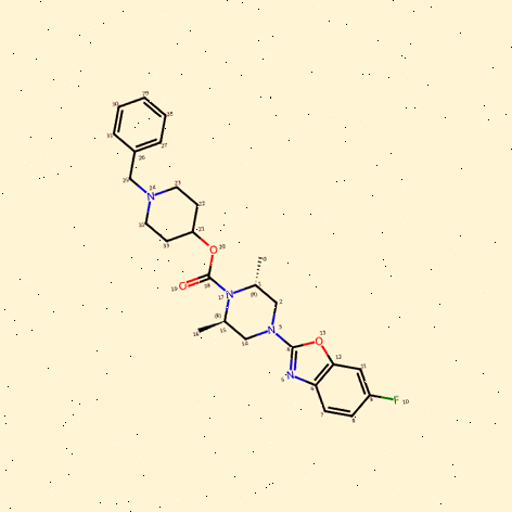 C[C@@H]1CN(c2nc3ccc(F)cc3o2)C[C@@H](C)N1C(=O)OC1CCN(Cc2ccccc2)CC1